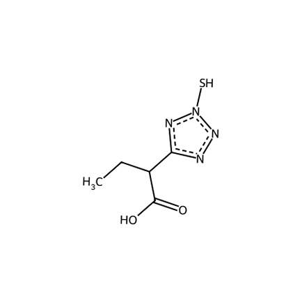 CCC(C(=O)O)c1nnn(S)n1